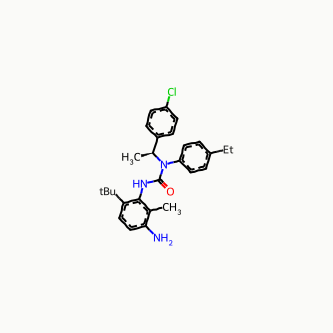 CCc1ccc(N(C(=O)Nc2c(C(C)(C)C)ccc(N)c2C)[C@@H](C)c2ccc(Cl)cc2)cc1